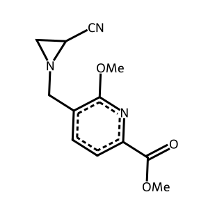 COC(=O)c1ccc(CN2CC2C#N)c(OC)n1